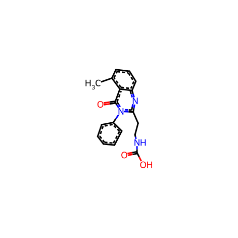 Cc1cccc2nc(CCNC(=O)O)n(-c3ccccc3)c(=O)c12